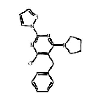 Clc1nc(-n2cccn2)nc(N2CCCC2)c1Cc1ccccc1